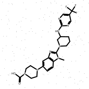 Cn1c(N2CCCC(Nc3ncc(C(F)(F)F)cn3)C2)nc2cc(N3CCN(C(=O)O)CC3)ccc21